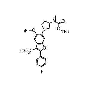 CCOC(=O)c1c(-c2ccc(F)cc2)oc2cc(N3CCC(NC(=O)OC(C)(C)C)C3)c(OC(C)C)cc12